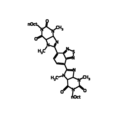 CCCCCCCCN1C(=O)C2C(N=C(c3ccc(C4=NC5C(C(=O)N(CCCCCCCC)C(=O)N5C)N4C)c4nsnc34)N2C)N(C)C1=O